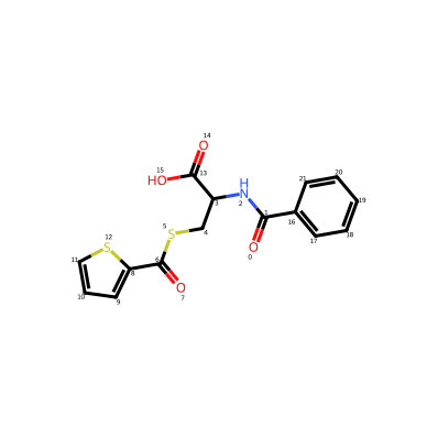 O=C(NC(CSC(=O)c1cccs1)C(=O)O)c1ccccc1